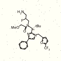 COCC(=O)N(CC(F)CN)[C@@H](c1nc(-c2ccccc2)cn1Cc1ccc(C(F)(F)F)o1)C(C)(C)C